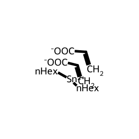 C=CC(=O)[O-].C=CC(=O)[O-].CCCCC[CH2][Sn+2][CH2]CCCCC